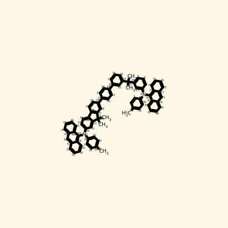 Cc1ccc(N(c2cccc(C(C)(C)c3cccc(-c4ccc(-c5ccc6c(c5)C(C)(C)c5cc(N(c7ccc(C)cc7)c7c8ccccc8cc8ccccc78)ccc5-6)cc4)c3)c2)c2c3ccccc3cc3ccccc23)cc1